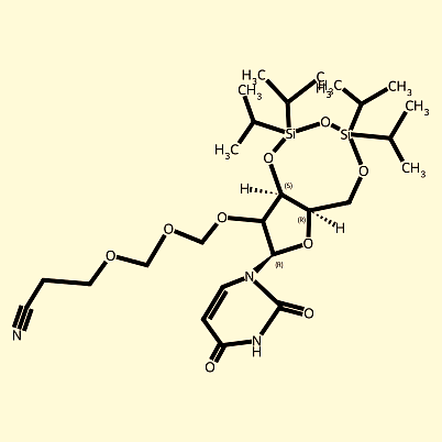 CC(C)[Si]1(C(C)C)OC[C@H]2O[C@@H](n3ccc(=O)[nH]c3=O)C(OCOCOCCC#N)[C@H]2O[Si](C(C)C)(C(C)C)O1